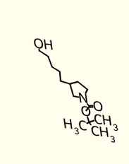 CC(C)(C)OC(=O)N1CCC(CCCCCO)C1